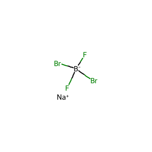 F[B-](F)(Br)Br.[Na+]